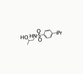 CC(O)CNS(=O)(=O)c1ccc(C(C)C)cc1